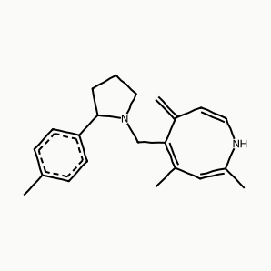 C=C1/C=C\N/C(C)=C\C(C)=C/1CN1CCCC1c1ccc(C)cc1